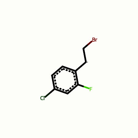 Fc1cc(Cl)ccc1[CH]CBr